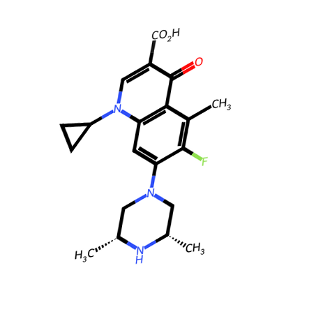 Cc1c(F)c(N2C[C@@H](C)N[C@@H](C)C2)cc2c1c(=O)c(C(=O)O)cn2C1CC1